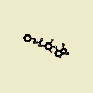 O=C(NCc1ccccc1)Nc1cc(F)c(Oc2ccnc3[nH]cc(Br)c23)c(F)c1